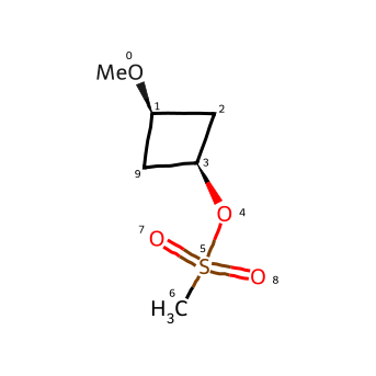 CO[C@H]1C[C@@H](OS(C)(=O)=O)C1